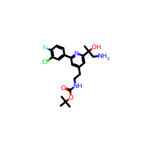 CC(C)(C)OC(=O)NCCc1cc(-c2ccc(F)c(Cl)c2)nc(C(C)(O)CN)c1